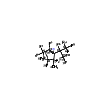 CC(F)(/C(=C(/F)C(F)(F)F)C(F)(C(F)(F)F)C(F)(F)F)C(F)(F)F